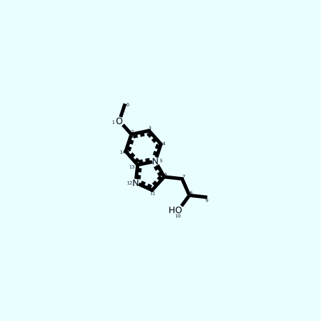 COc1ccn2c(CC(C)O)cnc2c1